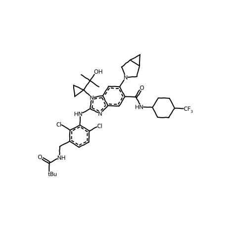 CC(C)(C)C(=O)NCc1ccc(Cl)c(Nc2nc3cc(C(=O)NC4CCC(C(F)(F)F)CC4)c(N4CC5CC5C4)cc3n2C2(C(C)(C)O)CC2)c1Cl